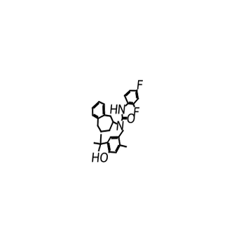 Cc1cc(O)c(C(C)(C)C)cc1CN(C(=O)Nc1ccc(F)cc1F)C1CCCc2ccccc2C1